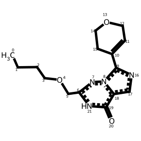 CCCCOCc1nn2c(C3=CCOCC3)ncc2c(=O)[nH]1